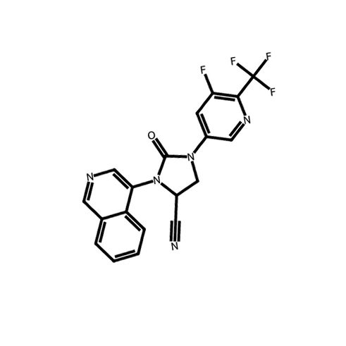 N#CC1CN(c2cnc(C(F)(F)F)c(F)c2)C(=O)N1c1cncc2ccccc12